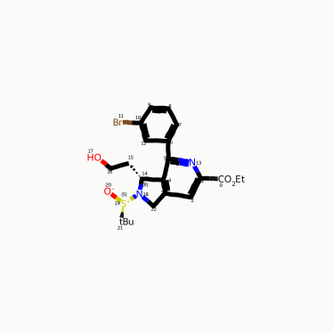 CCOC(=O)c1cc2c(c(-c3cccc(Br)c3)n1)[C@@H](CCO)N([S@+]([O-])C(C)(C)C)C2